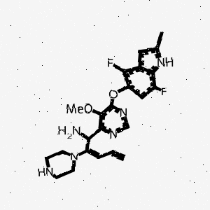 C=C/C=C(\C(N)c1ncnc(Oc2cc(F)c3[nH]c(C)cc3c2F)c1OC)N1CCNCC1